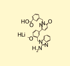 COc1ccc(-c2ccc(=O)n(Cc3cccc(C(=O)O)c3)n2)cc1Cn1c(N)nc2ccccc21.[LiH]